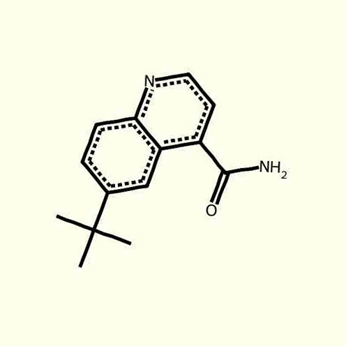 CC(C)(C)c1ccc2nccc(C(N)=O)c2c1